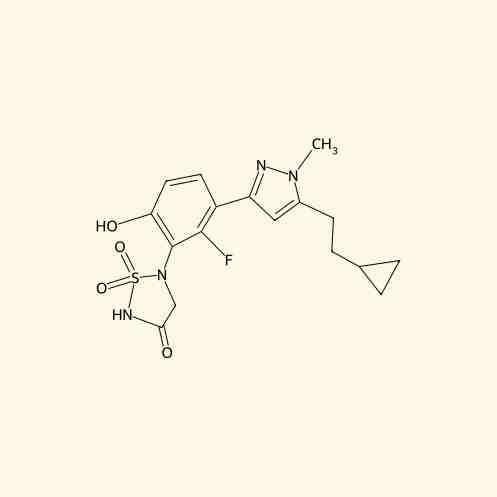 Cn1nc(-c2ccc(O)c(N3CC(=O)NS3(=O)=O)c2F)cc1CCC1CC1